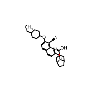 CCC1CCC(Oc2ccc3ccc(CN4C5CCC4CC(C(=O)O)C5)cc3c2C#N)CC1